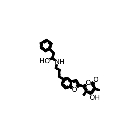 Cc1c(-c2cc3cc(CCCNC(O)Cc4ccccc4)ccc3o2)oc(=O)c(C)c1O